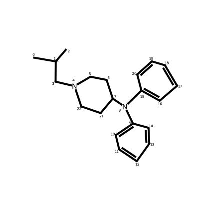 C[C](C)CN1CCC(N(c2ccccc2)c2ccccc2)CC1